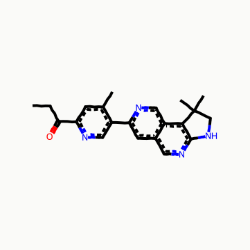 CCC(=O)c1cc(C)c(-c2cc3cnc4c(c3cn2)C(C)(C)CN4)cn1